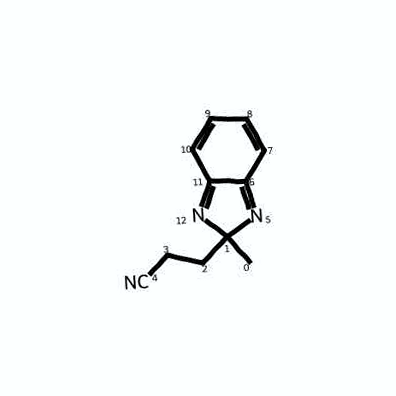 CC1(CCC#N)N=c2ccccc2=N1